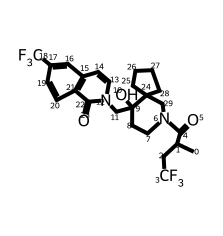 CC(CC(F)(F)F)C(=O)N1CCC(O)(Cn2ccc3cc(C(F)(F)F)ccc3c2=O)C2(CCCC2)C1